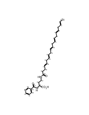 CCC=CCC=CCC=CCC=CCC=CCC=CCCC(=O)NCCC(NC(=O)c1cccnc1)C(=O)O